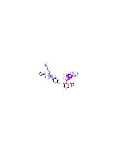 CN(C)CCCCC(NC(=O)C1(C(=O)O)CCC1)C(=O)Nc1ccc(COc2ccccc2C2=CC(N3CC4CCC(C3)N4c3ccnc(OC4CCC4)c3)=C(N)NN2)cc1